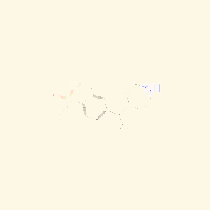 CC(=O)C(c1ccc(S(=O)(=O)Cl)cc1)C1CCNCC1